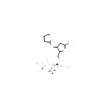 BC1CC(OC2CCCO2)C(COP(=O)(O)OP(=O)(O)OP(=O)(O)O)S1